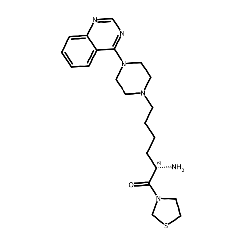 N[C@@H](CCCCN1CCN(c2ncnc3ccccc23)CC1)C(=O)N1CCSC1